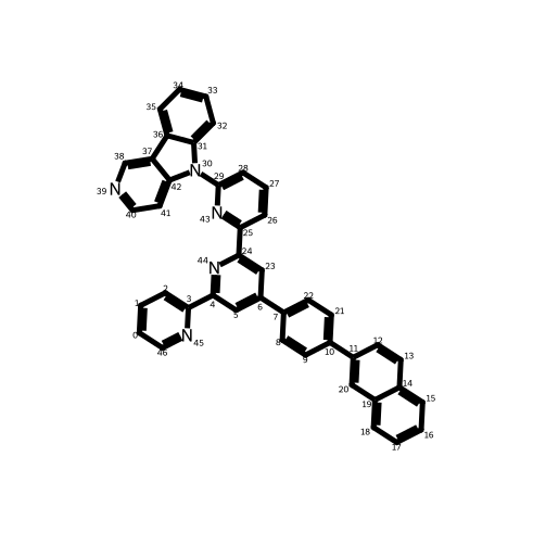 c1ccc(-c2cc(-c3ccc(-c4ccc5ccccc5c4)cc3)cc(-c3cccc(-n4c5ccccc5c5cnccc54)n3)n2)nc1